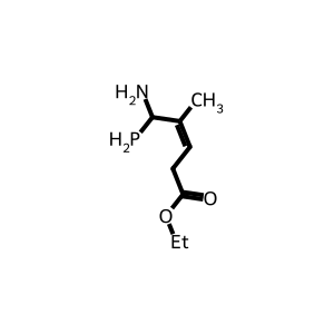 CCOC(=O)CC=C(C)C(N)P